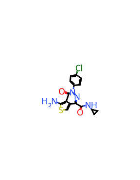 Nc1scc2c(C(=O)NC3CC3)nn(-c3ccc(Cl)cc3)c(=O)c12